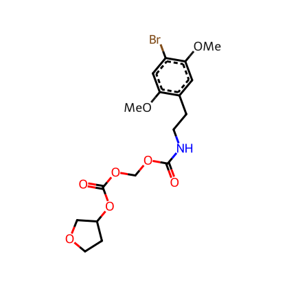 COc1cc(CCNC(=O)OCOC(=O)OC2CCOC2)c(OC)cc1Br